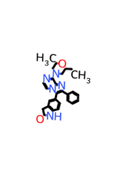 CCC1CN(c2nccn3c(-c4ccc5c(c4)CC(=O)N5)c(-c4ccccc4)nc23)CC(C)O1